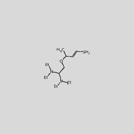 CCN(CC)C(COC(C)C=C[SiH3])N(CC)CC